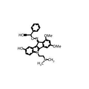 C#CC(ON=C1c2c(OC)cc(OC)cc2-c2c1c1cc(O)ccc1n2CCN(C)C)c1ccccc1